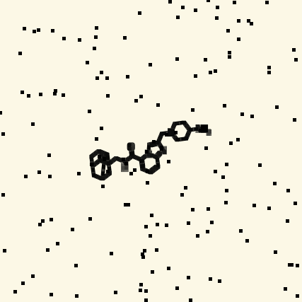 NC1CCN(Cc2cn3c(C(=O)NCC45CC6CC(CC(C6)C4)C5)cccc3n2)CC1